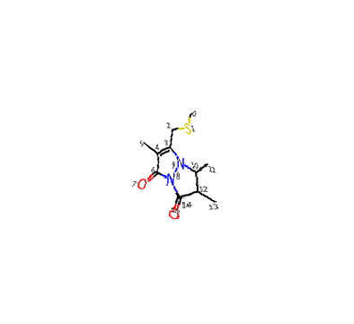 CSCc1c(C)c(=O)n2n1C(C)C(C)C2=O